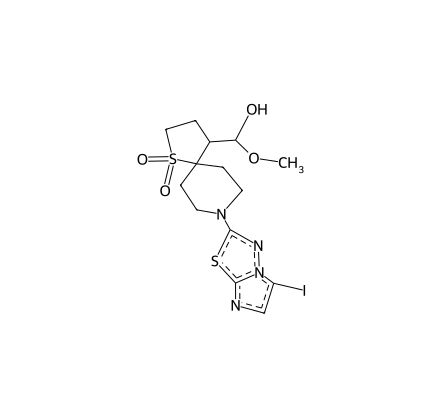 COC(O)C1CCS(=O)(=O)C12CCN(c1nn3c(I)cnc3s1)CC2